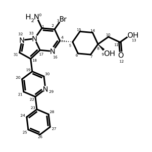 Nc1c(Br)c([C@H]2CC[C@@](O)(CC(=O)O)CC2)nc2c(-c3ccc(-c4ccccc4)nc3)cnn12